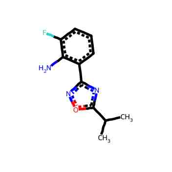 CC(C)c1nc(-c2cccc(F)c2N)no1